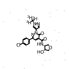 [2H]C([2H])([2H])n1cc(-n2nc(-c3ccc(Cl)cc3)cc(C(=O)N[C@@H]3COC[C@H]3O)c2=O)cn1